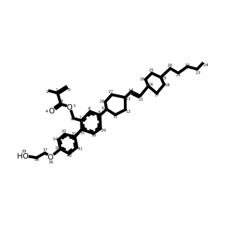 C=C(C)C(=O)OCc1cc(C2CCC(/C=C/C3CCC(CCCCC)CC3)CC2)ccc1-c1ccc(OCCO)cc1